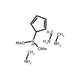 CN.CN.CN.CO[SiH](OC)C1C=CC=C1